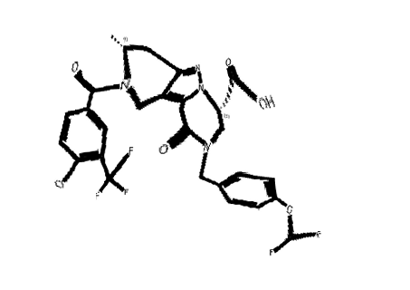 C[C@@H]1Cc2nn3c(c2CN1C(=O)c1ccc(Cl)c(C(F)(F)F)c1)C(=O)N(Cc1ccc(OC(F)F)cc1)C[C@H]3C(=O)O